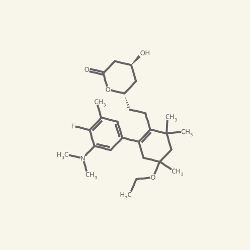 CCOC1(C)CC(c2cc(C)c(F)c(N(C)C)c2)=C(CC[C@H]2C[C@H](O)CC(=O)O2)C(C)(C)C1